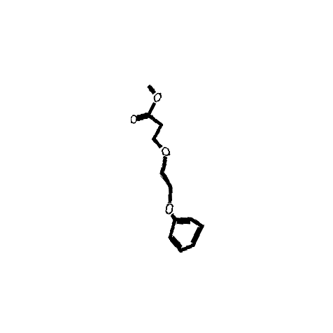 COC(=O)CCOCCOc1ccccc1